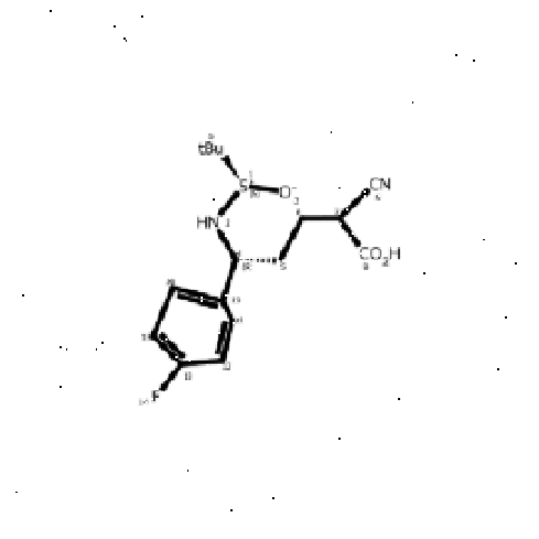 CC(C)(C)[S@@+]([O-])N[C@H](CCC(C#N)C(=O)O)c1ccc(F)cc1